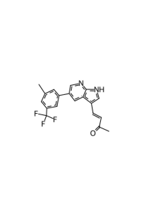 CC(=O)/C=C/c1c[nH]c2ncc(-c3cc(C)cc(C(F)(F)F)c3)cc12